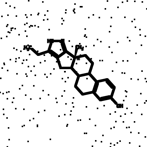 CCc1[nH]nc2c1CC1C3CCc4cc(O)ccc4C3CC[C@]21C